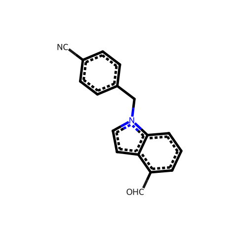 N#Cc1ccc(Cn2ccc3c(C=O)cccc32)cc1